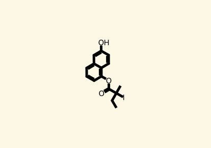 CCC(C)(I)C(=O)Oc1cccc2cc(O)ccc12